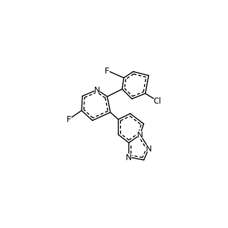 Fc1cnc(-c2cc(Cl)ccc2F)c(-c2ccn3ncnc3c2)c1